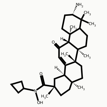 CC1(C)C2CC[C@]3(C)[C@H](C(=O)C=C4[C@@H]5C[C@@](C)(C(=O)N(O)C6CCC6)CC[C@]5(C)CC[C@]43C)[C@@]2(C)CC[C@@H]1N